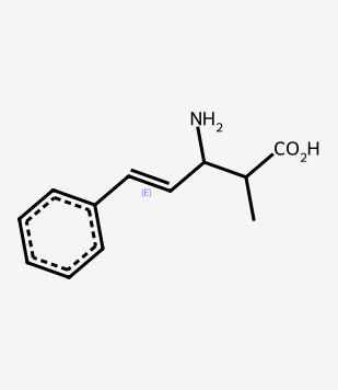 CC(C(=O)O)C(N)/C=C/c1ccccc1